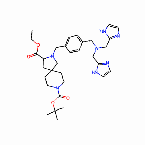 CCOC(=O)C1CC2(CCN(C(=O)OC(C)(C)C)CC2)CN1Cc1ccc(CN(Cc2ncc[nH]2)Cc2ncc[nH]2)cc1